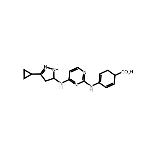 O=C(O)C1C=CC(Nc2nccc(NC3CC(C4CC4)=NN3)n2)=CC1